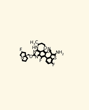 C[C@@H]1CCOc2c(Cl)c(-c3ccc(F)c4sc(N)c(C#N)c34)c(F)c3nc(OC[C@@]45CCCN4C[C@H](F)C5)nc(c23)N1